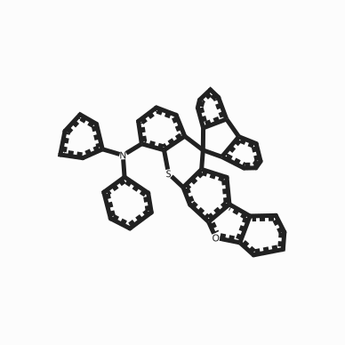 c1ccc(N(c2ccccc2)c2cccc3c2Sc2cc4oc5ccccc5c4cc2C32c3ccccc3-c3ccccc32)cc1